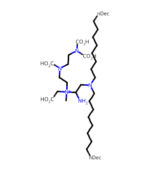 CCCCCCCCCCCCCCCCCCN(CCCCCCCCCCCCCCCCCC)CC(N)[N+](C)(CCN(CCN(C(=O)O)C(=O)O)C(=O)O)CC(=O)O